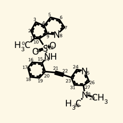 Cc1ccc2cccnc2c1S(=O)(=O)Nc1ccccc1C#Cc1cncc(N(C)C)c1